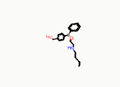 CCCCNCCOB(c1ccccc1)c1ccc(CO)cc1